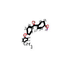 Cc1ccc(Oc2ccc(C(=O)c3ccc(OI)cc3)cc2)cc1